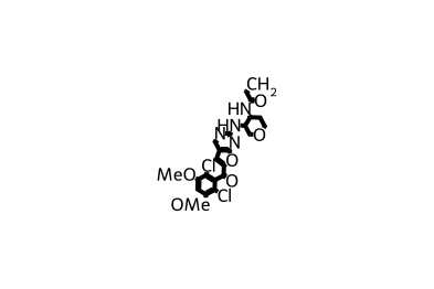 C=CC(=O)NC1CCOCC1Nc1ncc2cc(C(=O)c3c(Cl)c(OC)cc(OC)c3Cl)oc2n1